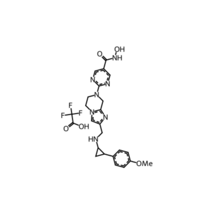 COc1ccc(C2CC2NCc2cn3c(n2)CN(c2ncc(C(=O)NO)cn2)CC3)cc1.O=C(O)C(F)(F)F